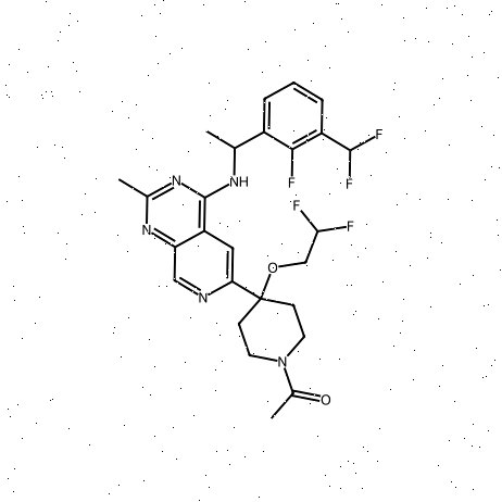 CC(=O)N1CCC(OCC(F)F)(c2cc3c(NC(C)c4cccc(C(F)F)c4F)nc(C)nc3cn2)CC1